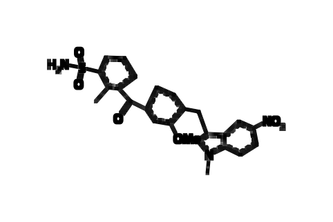 COc1cc(C(=O)c2cccc(S(N)(=O)=O)c2C)ccc1Cc1cn(C)c2ccc([N+](=O)[O-])cc12